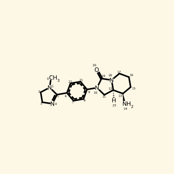 CN1CCN=C1c1ccc(N2C[C@@H]3[C@H](N)CCCN3C2=O)cc1